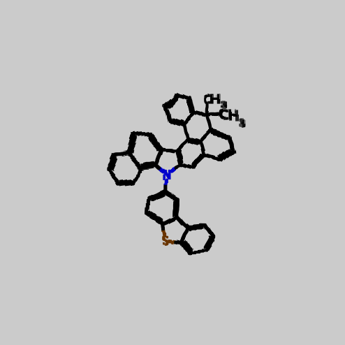 CC1(C)c2ccccc2-c2c3c1cccc3cc1c2c2ccc3ccccc3c2n1-c1ccc2sc3ccccc3c2c1